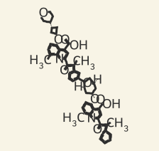 Cc1c(-c2cc(C(=O)O)c3c(O[C@H]4C[C@@H]5CC(c6ccc7oc(-c8cc(C(=O)O)c9c(O[C@H]%10C[C@@H](C%11CCOCC%11)C%10)ccc(C)c9n8)c(C)c7c6)[C@H](C4)O5)ccc(C)c3n2)oc2ccccc12